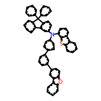 c1ccc(C2(c3ccccc3)c3ccccc3-c3cc(N(c4ccc(-c5cccc(-c6ccc7oc8ccccc8c7c6)c5)cc4)c4cccc5c4sc4ccccc45)ccc32)cc1